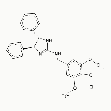 COc1cc(CNC2=N[C@@H](c3ccccc3)[C@H](c3ccccc3)N2)cc(OC)c1OC